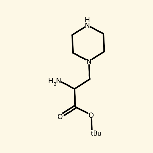 CC(C)(C)OC(=O)C(N)CN1CCNCC1